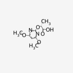 COc1cc(OC)nc(O[C@H](C)C(=O)O)n1